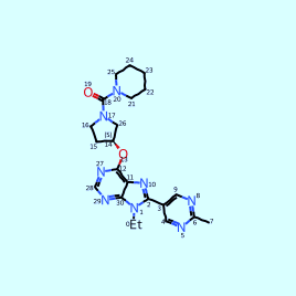 CCn1c(-c2cnc(C)nc2)nc2c(O[C@H]3CCN(C(=O)N4CCCCC4)C3)ncnc21